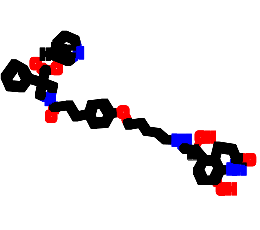 O=C(CCc1ccc(OCCCCCNC[C@H](O)c2ccc(O)c3[nH]c(=O)ccc23)cc1)N1CC(C(=O)O[C@H]2CN3CCC2CC3)(c2ccccc2)C1